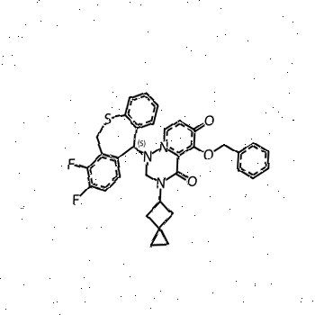 O=C1c2c(OCc3ccccc3)c(=O)ccn2N([C@@H]2c3ccccc3SCc3c2ccc(F)c3F)CN1C1CC2(CC2)C1